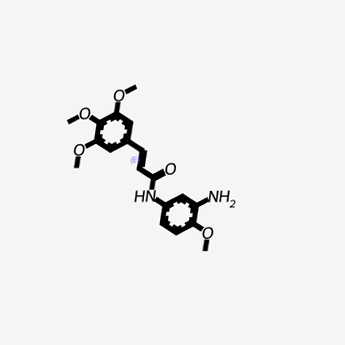 COc1ccc(NC(=O)/C=C/c2cc(OC)c(OC)c(OC)c2)cc1N